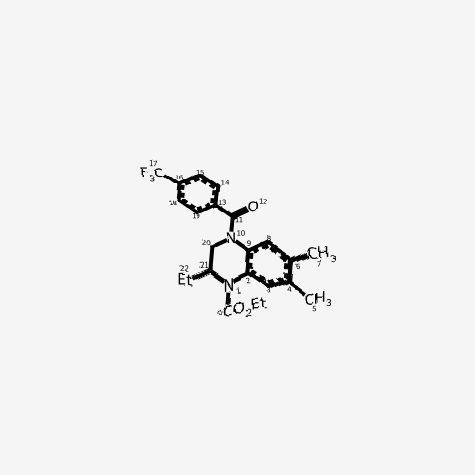 CCOC(=O)N1c2cc(C)c(C)cc2N(C(=O)c2ccc(C(F)(F)F)cc2)CC1CC